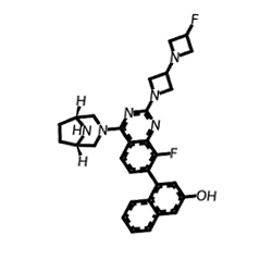 Oc1cc(-c2ccc3c(N4C[C@H]5CC[C@@H](C4)N5)nc(N4CC(N5CC(F)C5)C4)nc3c2F)c2ccccc2c1